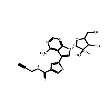 C#CCNC(=O)c1csc(-c2cn([C@@H]3OC(CO)C(O)[C@@]3(C)O)c3ncnc(N)c23)c1